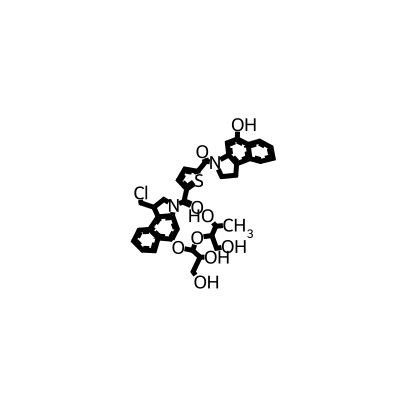 CC(O)C(CO)OC(Oc1cc2c(c3ccccc13)C(CCl)CN2C(=O)c1ccc(C(=O)N2CCc3c2cc(O)c2ccccc32)s1)C(O)CO